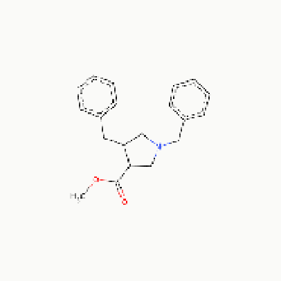 COC(=O)C1CN(Cc2ccccc2)CC1Cc1ccccc1